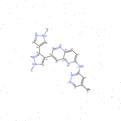 CC(C)c1cnnc(Nc2ccc3ncc(-c4cn(C)nc4-c4cnn(C)c4)cc3n2)c1